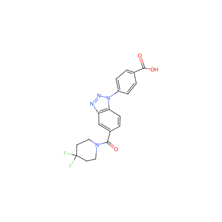 O=C(O)c1ccc(-n2nnc3cc(C(=O)N4CCC(F)(F)CC4)ccc32)cc1